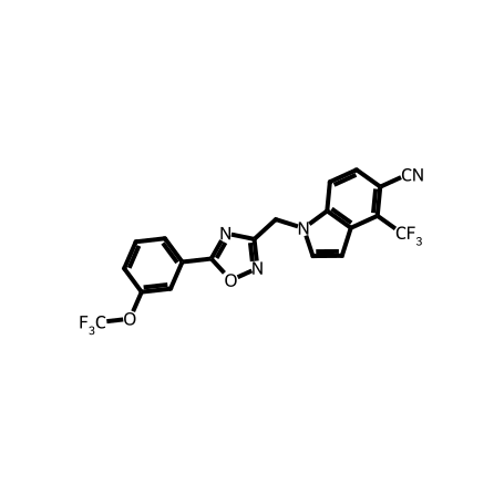 N#Cc1ccc2c(ccn2Cc2noc(-c3cccc(OC(F)(F)F)c3)n2)c1C(F)(F)F